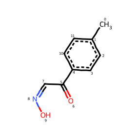 Cc1ccc(C(=O)/C=N\O)cc1